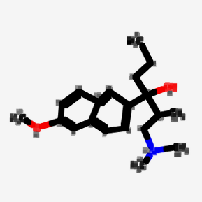 CCCC(O)(c1ccc2cc(OC)ccc2c1)C(C)CN(C)C